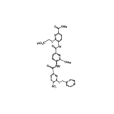 COC(=O)c1ccc(NC(=O)c2ccc(NC(=O)c3ccc([N+](=O)[O-])c(OCc4ccccc4)n3)c(OC)n2)c(OCC(=O)O)n1